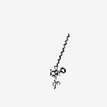 CCCCCCCCC=CCCCCCCCCOc1c2ncnc(SCC(=O)OCC)c2nn1-c1ccccc1